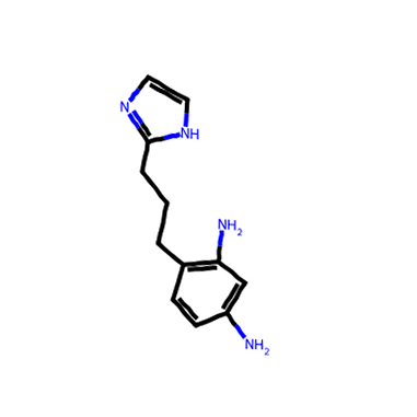 Nc1ccc(CCCc2ncc[nH]2)c(N)c1